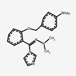 CC(=O)Nc1ccc(COc2ccccc2C(=NN(C)C)n2ccnc2)cc1